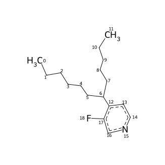 CCCCCCC(CCCCC)c1ccncc1F